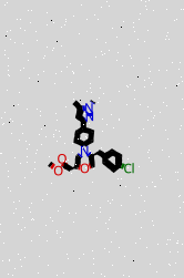 COC(=O)C[C@H]1CN(C2CCC(c3cc(C)n(C)n3)CC2)[C@@H](Cc2ccc(Cl)cc2)CO1